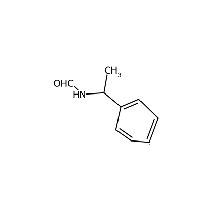 CC(NC=O)c1cc[c]cc1